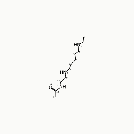 CCNCCCCCNCCNC(C)=O